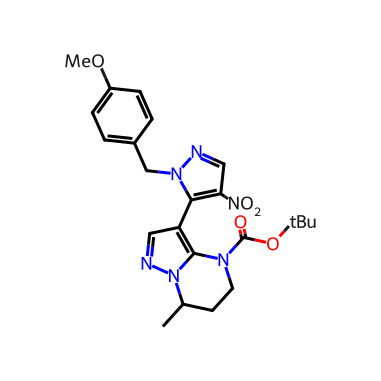 COc1ccc(Cn2ncc([N+](=O)[O-])c2-c2cnn3c2N(C(=O)OC(C)(C)C)CCC3C)cc1